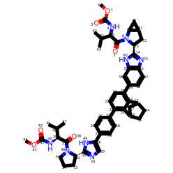 COC(=O)NC(C(=O)N1C2CC2C[C@H]1c1nc2ccc(-c3ccc(-c4ccc(-c5cnc([C@@H]6CCCN6C(=O)[C@@H](NC(=O)OC)C(C)C)[nH]5)cc4)c4c3C3CCC4C3)cc2[nH]1)C(C)C